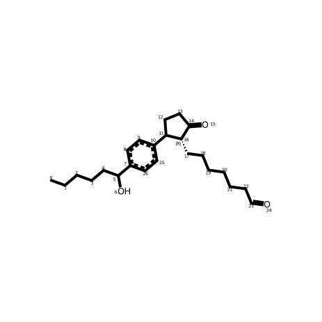 CCCCCC(O)c1ccc(C2CCC(=O)[C@@H]2CCCCCCC=O)cc1